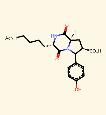 CC(=O)NCCCC[C@@H]1NC(=O)[C@H]2C[C@@H](C(=O)O)[C@@H](c3ccc(O)cc3)N2C1=O